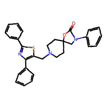 O=C1OC2(CCN(Cc3sc(-c4ccccc4)nc3-c3ccccc3)CC2)CN1c1ccccc1